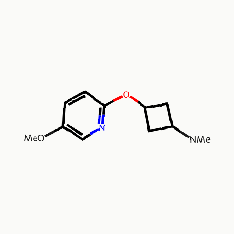 CNC1CC(Oc2ccc(OC)cn2)C1